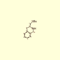 CC(C)(C)C[C@@H]1Cc2ccccc2CN1